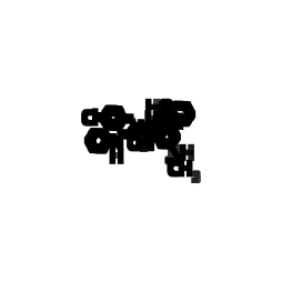 CCNc1cc(C(=O)N[C@@H](Cc2ccc(Cl)cc2)[C@@H](O)CNC2CCCCC2)cc(N2CCCCS2(O)O)c1